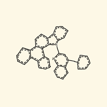 c1ccc(-c2cc(-n3c4ccccc4c4ccc5c6ccccc6c6ccccc6c5c43)nc3ccccc23)cc1